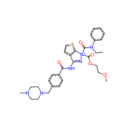 CCN(C(=O)[N+]1(C(=O)OCCOC)N=C(NC(=O)c2ccc(CN3CCN(C)CC3)cc2)c2ccsc21)c1ccccc1